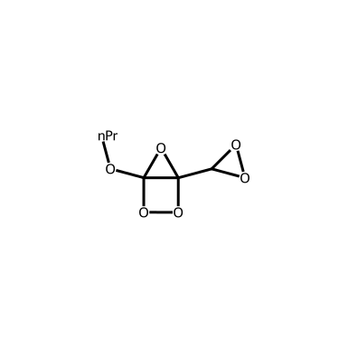 CCCOC12OOC1(C1OO1)O2